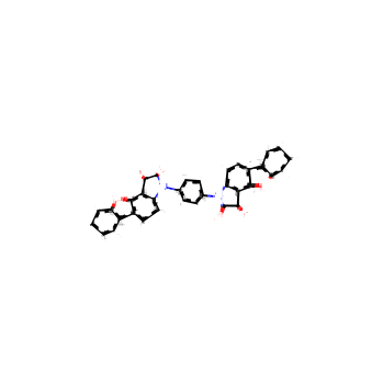 O=C1C(=O)N(c2ccc(N3C(=O)C(=O)c4c3ccc3c4oc4ccccc43)cc2)c2ccc3c(oc4ccccc43)c21